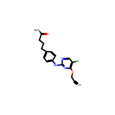 C#CCOc1nc(Nc2ccc(CCCC(=O)NC)cc2)ncc1Br